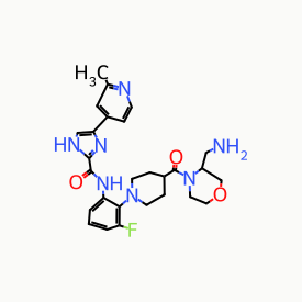 Cc1cc(-c2c[nH]c(C(=O)Nc3cccc(F)c3N3CCC(C(=O)N4CCOCC4CN)CC3)n2)ccn1